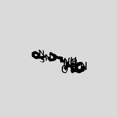 O=C(NCCC1C2CN(c3nc4ccccc4s3)CC12)c1cc2ccncc2o1